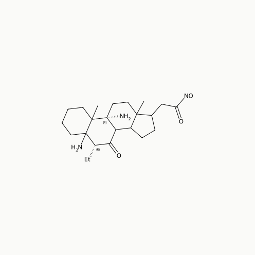 CC[C@H]1C(=O)C2C3CCC(CC(=O)N=O)C3(C)CC[C@]2(N)C2(C)CCCCC12N